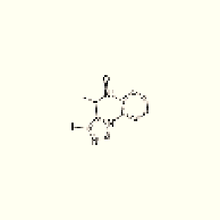 CC1c2c(I)ncn2-c2ccccc2[N+]1=O